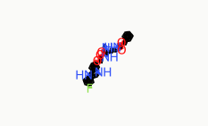 CNC(=O)[C@@H](CCCNC(=O)OCc1ccccc1)NC(=O)COc1ccc2c(c1)NCc1c-2[nH]c2ccc(F)cc12